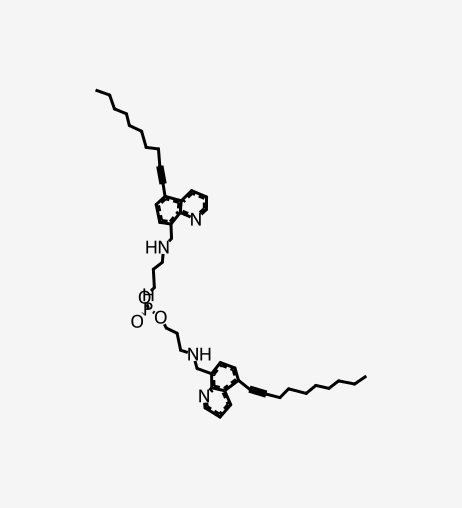 CCCCCCCCC#Cc1ccc(CNCCCO[PH](=O)OCCCNCc2ccc(C#CCCCCCCCC)c3cccnc23)c2ncccc12